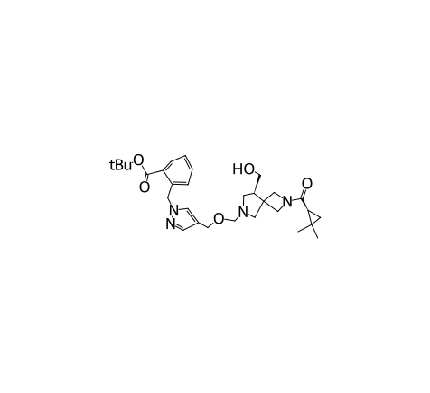 CC(C)(C)OC(=O)c1ccccc1Cn1cc(COCN2C[C@@H](CO)C3(C2)CN(C(=O)[C@H]2CC2(C)C)C3)cn1